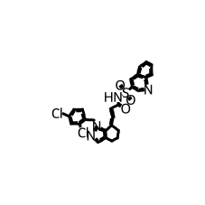 O=C(C=C=C1CCCc2cnn(Cc3ccc(Cl)cc3Cl)c21)NS(=O)(=O)c1cnc2ccccc2c1